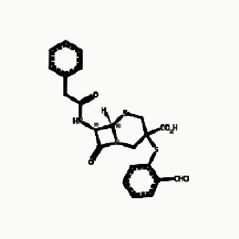 O=Cc1ccccc1SC1(C(=O)O)CS[C@@H]2[C@H](NC(=O)Cc3ccccc3)C(=O)N2C1